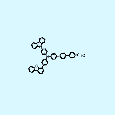 O=Cc1ccc(-c2ccc(-c3ccc(N(c4ccc(-c5cccc6c5oc5ccccc56)cc4)c4ccc(-n5c6ccccc6c6ccccc65)cc4)cc3)cc2)cc1